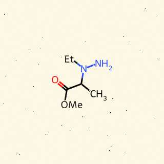 CCN(N)C(C)C(=O)OC